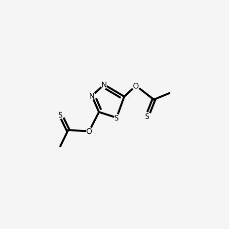 CC(=S)Oc1nnc(OC(C)=S)s1